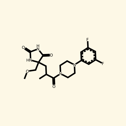 COCC1(CC(C)C(=O)N2CCN(c3cc(F)cc(F)c3)CC2)NC(=O)NC1=O